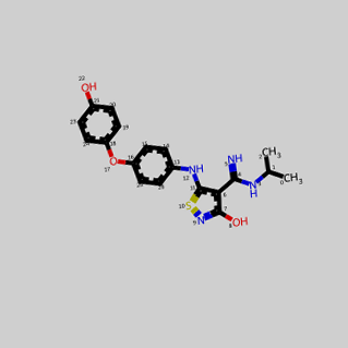 CC(C)NC(=N)c1c(O)nsc1Nc1ccc(Oc2ccc(O)cc2)cc1